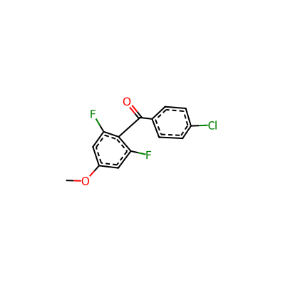 COc1cc(F)c(C(=O)c2ccc(Cl)cc2)c(F)c1